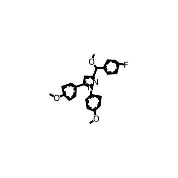 COc1ccc(-c2cc(C(OC)c3ccc(F)cc3)nn2-c2ccc(OC)cc2)cc1